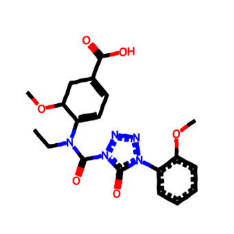 CCN(C(=O)n1nnn(-c2ccccc2OC)c1=O)C1=CC=C(C(=O)O)CC1OC